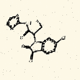 CC(C)CC(C(=O)Nc1nccs1)N1C(=O)C(=O)c2ccc(Cl)cc21